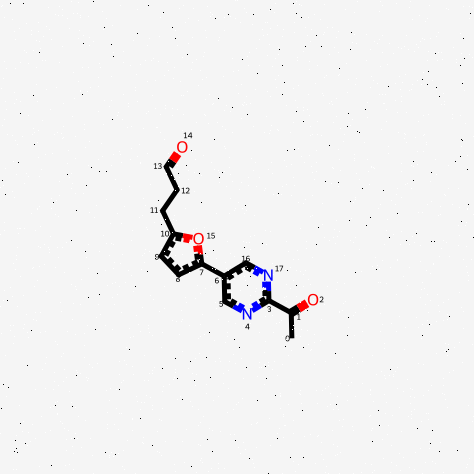 CC(=O)c1ncc(-c2ccc(CCC=O)o2)cn1